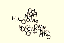 COc1cc(-c2nccc(-c3cccc(-c4ccc(CNC[C@H]5CCC(=O)N5)c(OC)n4)c3Cl)c2Cl)cc(C)c1CNC[C@H](C)O